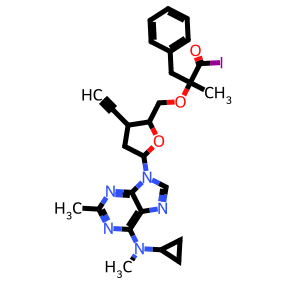 C#CC1CC(n2cnc3c(N(C)C4CC4)nc(C)nc32)OC1COC(C)(Cc1ccccc1)C(=O)I